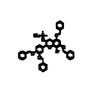 CC(C)(C)[Si](C)(C)OC1Cc2c(OCc3ccccc3)cc(OCc3ccccc3)c(Br)c2OC1c1ccc(OCc2ccccc2)c(OCc2ccccc2)c1